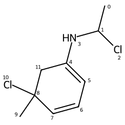 CC(Cl)NC1=CC=CC(C)(Cl)C1